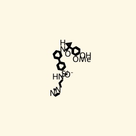 COc1cc(C2(C(=O)Nc3cccc(-c4ccc([S+]([O-])NCCCn5ccnc5)cc4)c3)CC2)ccc1O